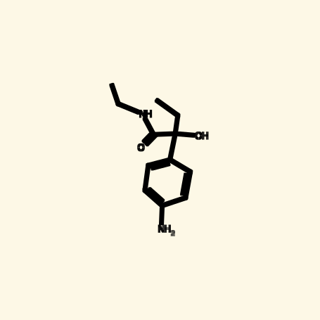 CCNC(=O)C(O)(CC)c1ccc(N)cc1